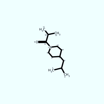 CC(C)CC1CCN(C(=O)C(C)C)CC1